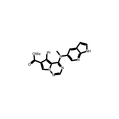 COC(=O)c1cn2ncnc(N(C)c3cnc4[nH]ccc4c3)c2c1C(C)C